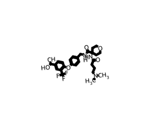 CC(O)c1ccc(Oc2ccc(CNC(=O)C3(NC(=O)CCCN(C)C)CCOCC3)cc2)c(C(F)(F)F)c1